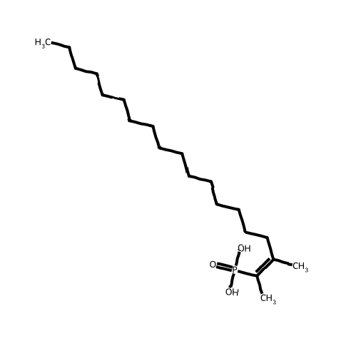 CCCCCCCCCCCCCCCCC(C)=C(C)P(=O)(O)O